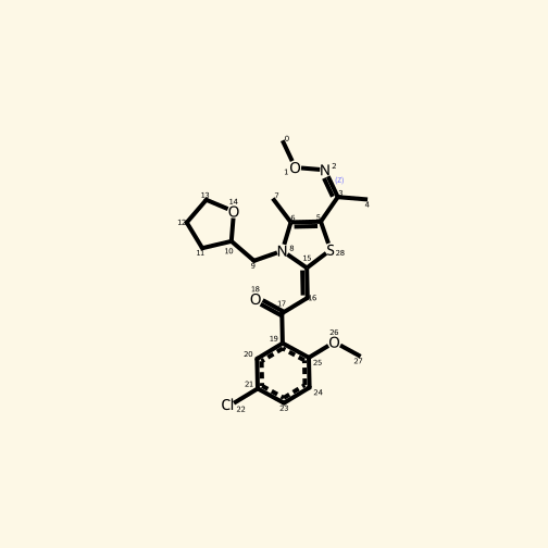 CO/N=C(/C)C1=C(C)N(CC2CCCO2)C(=CC(=O)c2cc(Cl)ccc2OC)S1